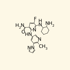 Cc1ncc(Nc2nc(NC3CCCCC3N)c(F)cc2C(N)=O)cc1-n1cccn1